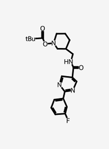 CC(C)(C)C(=O)ON1CCCC(CNC(=O)c2cnc(-c3cccc(F)c3)nc2)C1